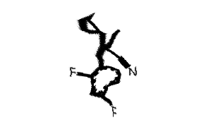 CC(C#N)(Cc1ccc(F)cc1F)C1CC1